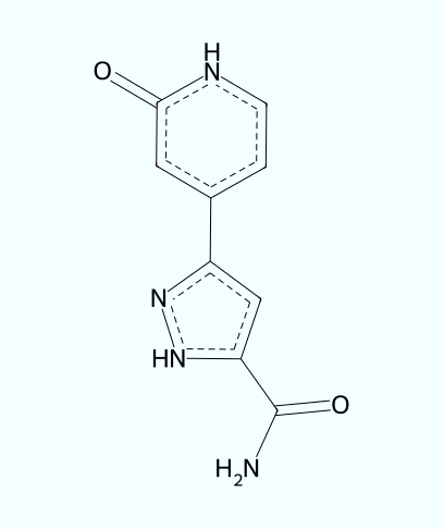 NC(=O)c1cc(-c2cc[nH]c(=O)c2)n[nH]1